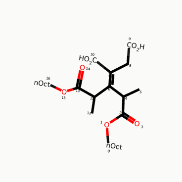 CCCCCCCCOC(=O)C(C)C(=C(CC(=O)O)C(=O)O)C(C)C(=O)OCCCCCCCC